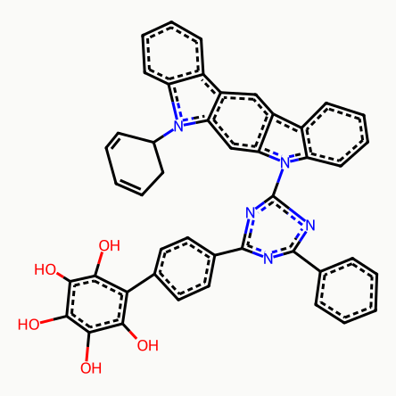 Oc1c(O)c(O)c(-c2ccc(-c3nc(-c4ccccc4)nc(-n4c5ccccc5c5cc6c7ccccc7n(C7C=CC=CC7)c6cc54)n3)cc2)c(O)c1O